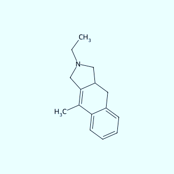 CCN1CC2=C(C)c3ccccc3CC2C1